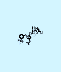 CC(C)Cc1cc(OC(=O)Nc2ncc(Cl)s2)n(Cc2cccc(C(F)(F)F)c2)c1